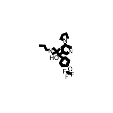 CCCN1CC(C)([C@](O)(c2ccc(OC(F)(F)F)cc2)c2cncc(N3CCCC3)c2)C1